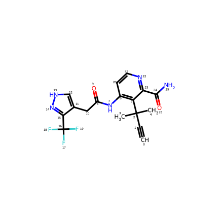 C#CC(C)(C)c1c(NC(=O)Cc2c[nH]nc2C(F)(F)F)ccnc1C(N)=O